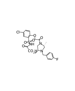 C[C@@H]1CN(Cc2ccc(F)cc2)[C@@H](C)CN1C(=O)COc1ccc(Cl)cc1S(=O)(=O)NC(=O)C(=O)O